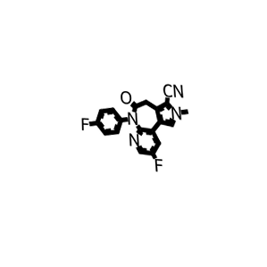 Cn1cc2c(c1C#N)CC(=O)N(c1ccc(F)cc1)c1ncc(F)cc1-2